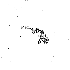 COCCCNC(=O)c1ccc(Cn2ccc(NC(=O)C(CC3CCCC3)c3ccc(S(C)(=O)=O)c(Cl)c3)n2)cc1